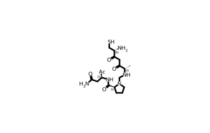 CC(=O)[C@H](CC(N)=O)NC(=O)[C@@H]1CCCN1CN[C@@H](C)C(=O)CC(=O)[C@@H](N)CS